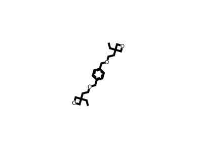 CCC1(CCOCc2ccc(COCCC3(CC)COC3)cc2)COC1